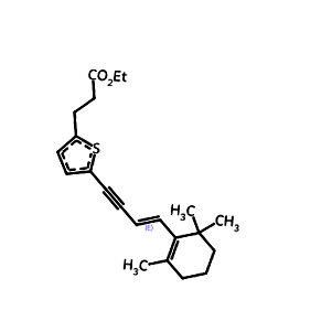 CCOC(=O)CCc1ccc(C#C/C=C/C2=C(C)CCCC2(C)C)s1